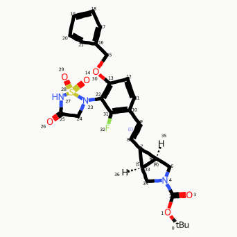 CC(C)(C)OC(=O)N1C[C@@H]2C(/C=C/c3ccc(OCc4ccccc4)c(N4CC(=O)NS4(=O)=O)c3F)[C@@H]2C1